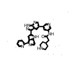 O=C(CC1CCNCC1)Nc1cncc(-c2cnc3[nH]nc(-c4cc5c(-c6ccccn6)nccc5[nH]4)c3c2)c1